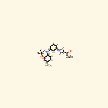 COC(=O)C1CN(c2cccc(N3CC(C)(C)Oc4cc(C(C)(C)C)ccc43)c2)C1